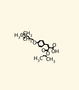 CCC(C)OC(=O)C(=Cc1ccc(OCCC[Si](C)(C)C)cc1)C(=O)O